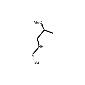 CC[C@@H](C)CNC[C@H](C)OC